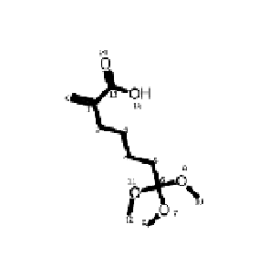 C=C(CCCCC(OC)(OC)OC)C(=O)O